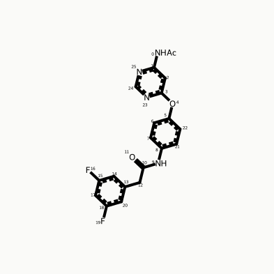 CC(=O)Nc1cc(Oc2ccc(NC(=O)Cc3cc(F)cc(F)c3)cc2)ncn1